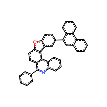 c1ccc(-c2nc3ccccc3c3c2ccc2oc4ccc(-c5cc6ccccc6c6ccccc56)cc4c23)cc1